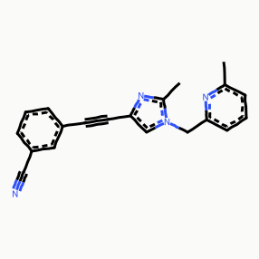 Cc1cccc(Cn2cc(C#Cc3cccc(C#N)c3)nc2C)n1